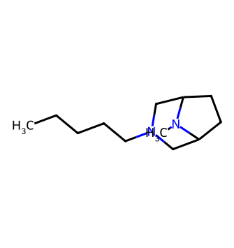 CCCCCN1CC2CCC(C1)N2C